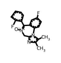 Cc1nc2n(c1C)-c1ccc(F)cc1C(c1ccccc1F)=[N+]([O-])C2